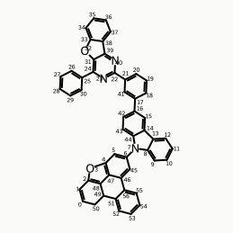 C1=Cc2oc3cc(-n4c5ccccc5c5cc(-c6cccc(-c7nc(-c8ccccc8)c8oc9ccccc9c8n7)c6)ccc54)cc4c3c2C(C1)c1ccccc1-4